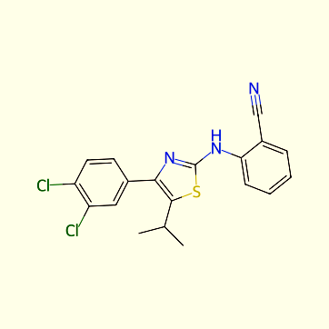 CC(C)c1sc(Nc2ccccc2C#N)nc1-c1ccc(Cl)c(Cl)c1